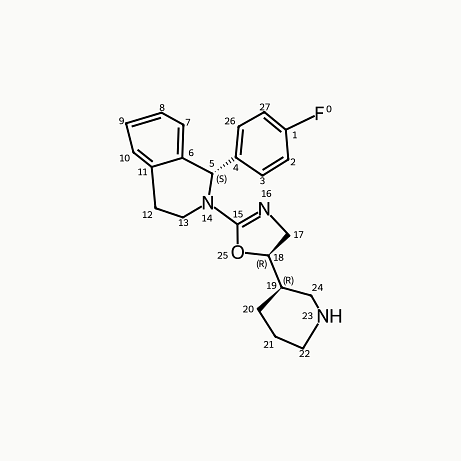 Fc1ccc([C@H]2c3ccccc3CCN2C2=NC[C@@H]([C@@H]3CCCNC3)O2)cc1